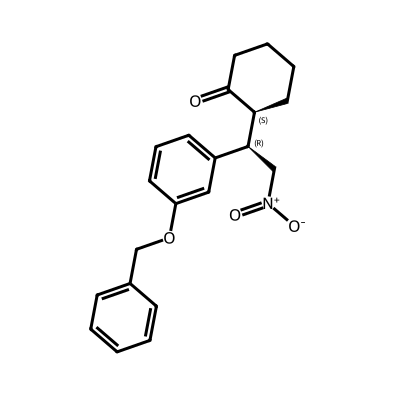 O=C1CCCC[C@H]1[C@@H](C[N+](=O)[O-])c1cccc(OCc2ccccc2)c1